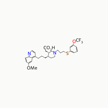 COc1ccc2nccc(CCC[C@@H]3CCN(CCCSc4cccc(OC(F)(F)F)c4)C[C@@H]3CC(=O)O)c2c1